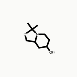 CC1(C)OCC2CC(O)CCN21